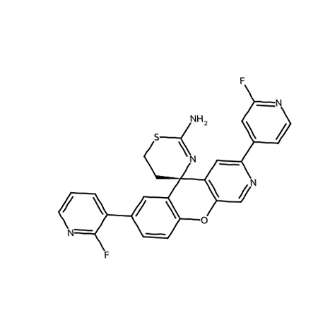 NC1=N[C@@]2(CCS1)c1cc(-c3cccnc3F)ccc1Oc1cnc(-c3ccnc(F)c3)cc12